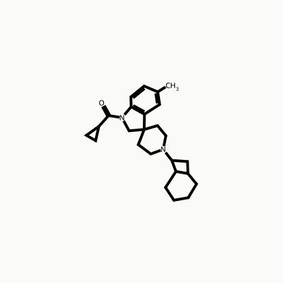 Cc1ccc2c(c1)C1(CCN(C3CC4CCCCC43)CC1)CN2C(=O)C1CC1